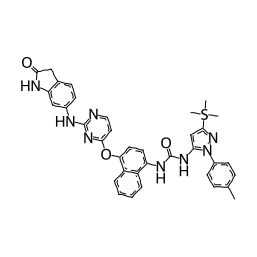 Cc1ccc(-n2nc(S(C)(C)C)cc2NC(=O)Nc2ccc(Oc3ccnc(Nc4ccc5c(c4)NC(=O)C5)n3)c3ccccc23)cc1